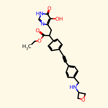 CCOC(=O)C(Cc1nc[nH]c(=O)c1O)c1ccc(C#Cc2ccc(CNC3COC3)cc2)cc1